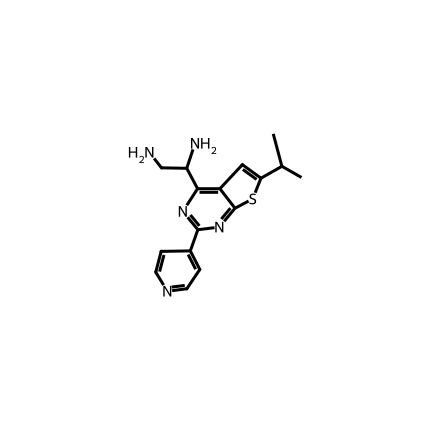 CC(C)c1cc2c(C(N)CN)nc(-c3ccncc3)nc2s1